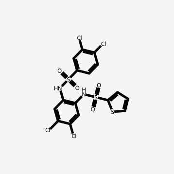 O=S(=O)(Nc1cc(Cl)c(Cl)cc1NS(=O)(=O)c1cccs1)c1ccc(Cl)c(Cl)c1